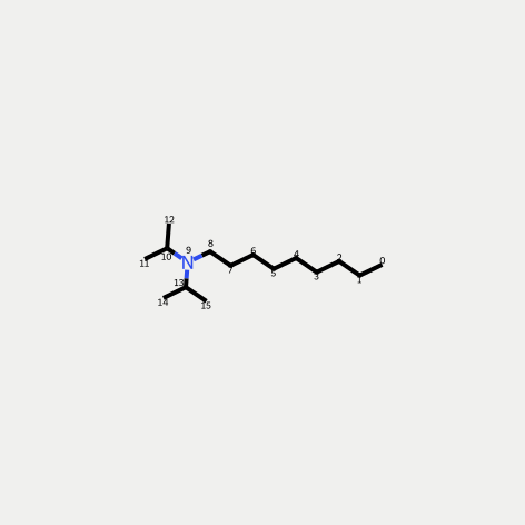 CCCCCCCCCN(C(C)C)C(C)C